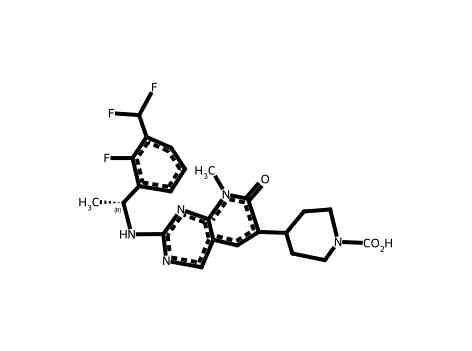 C[C@@H](Nc1ncc2cc(C3CCN(C(=O)O)CC3)c(=O)n(C)c2n1)c1cccc(C(F)F)c1F